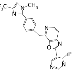 CC(C)c1ncncc1-c1nc2ccnc(Cc3ccc(-c4nc(C(F)(F)F)cn4C)cc3)c2o1